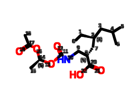 CC[C@@H](CC(C)C)C[C@@H](CNC(=O)O[C@@H](C)OC(C)=O)C(=O)O